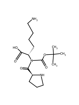 CC(C)(C)OC(=O)N(C(=O)[C@@H]1CCCN1)[C@@H](CCCCN)C(=O)O